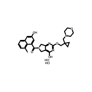 Cl.Cl.O=C(c1cc(O)cc2cccc(I)c12)N1Cc2nc(OCC3(CN4CCOCC4)CC3)nc(O)c2C1